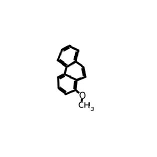 COc1cccc2c1ccc1ccccc12